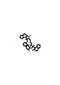 C=C(/C=C/C=C1/N(C)c2ccc3ccccc3c2C1(C)Cc1ccccc1C)C(C)(Cc1ccccc1C)c1c(C)ccc2ccccc12